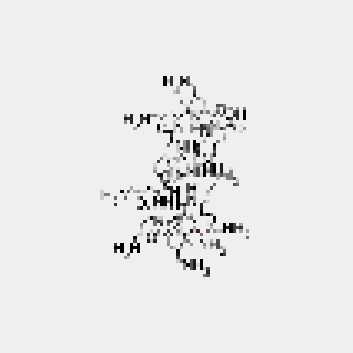 NCCC[C@H](NC(=O)[C@H](CCCN)NC(=O)[C@H](CCCN)NC(=O)[C@H](CCCN)NC(=O)[C@H](CCCN)NC(=O)[C@H](CCCN)NC(=O)[C@H](CCCN)NC(=O)[C@H](CCCN)NC(=O)[C@H](CCCN)NC(=O)[C@H](CCCN)NC(=O)[C@H](CCCN)NC(=O)[C@@H](N)CCCN)C(=O)O